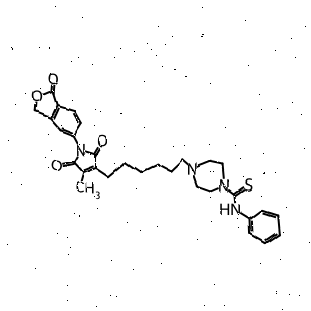 CC1=C(CCCCCCN2CCN(C(=S)Nc3ccccc3)CC2)C(=O)N(c2ccc3c(c2)COC3=O)C1=O